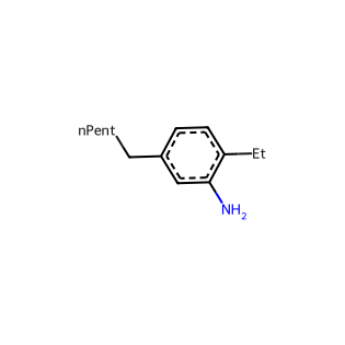 CCCCCCc1ccc(CC)c(N)c1